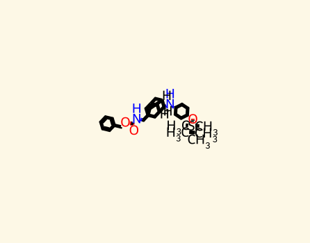 CC(C)(C)[Si](C)(C)O[C@H]1CC[C@H](N[C@H]2[C@@H]3CC4C[C@H]2CC(CNC(=O)OCc2ccccc2)(C4)C3)CC1